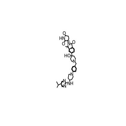 CC(C)c1cnc(NC2CCN(c3ccc(CN4CCC(O)(c5ccc6c(c5)[C@@H](C)N([C@H]5CCC(=O)NC5=O)C6=O)CC4)cc3)CC2)nc1